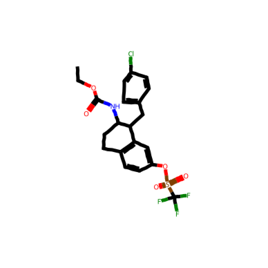 CCOC(=O)NC1CCc2ccc(OS(=O)(=O)C(F)(F)F)cc2C1Cc1ccc(Cl)cc1